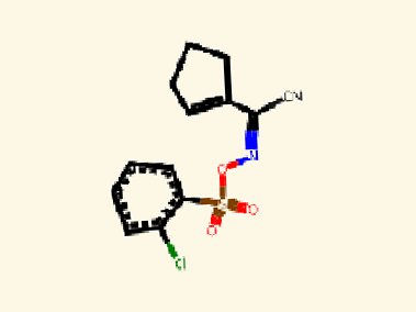 N#CC(=NOS(=O)(=O)c1ccccc1Cl)C1=CCCC1